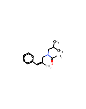 CC(=O)N(C/C(C)=C\c1ccccc1)CC(C)C